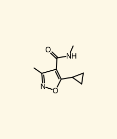 CNC(=O)c1c(C)noc1C1CC1